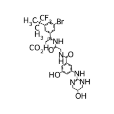 CC(C)(c1cc(Br)cc([C@H](CC(=O)O)NC(=O)CNC(=O)c2cc(O)cc(NC3=NCC(O)CN3)c2)c1)C(F)(F)F